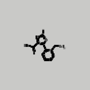 Cc1nc(C(=O)O)c(-c2ccccc2CN)s1